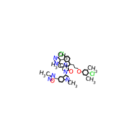 Cc1noc(-c2ccc3c(c2)c(N2CC(C)n4c(c(CCCOc5cc(C)c(Cl)c(C)c5)c5ccc(Cl)c(-c6c(C)ncnc6C)c54)C2=O)cn3C)n1